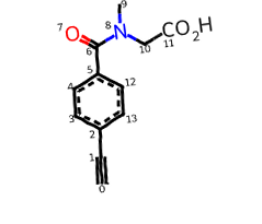 [C]#Cc1ccc(C(=O)N(C)CC(=O)O)cc1